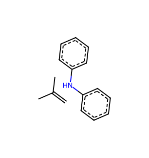 C=C(C)C.c1ccc(Nc2ccccc2)cc1